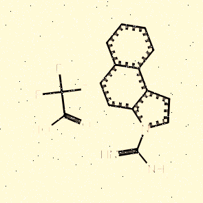 N=C(N)n1ccc2c3ccccc3ccc21.O=C(O)C(F)(F)F